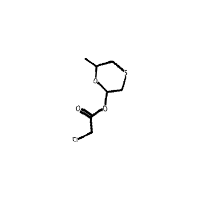 CC1CSCC(OC(=O)CCl)O1